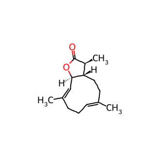 C/C1=C\[C@H]2OC(=O)[C@@H](C)[C@@H]2CC/C(C)=C/CC1